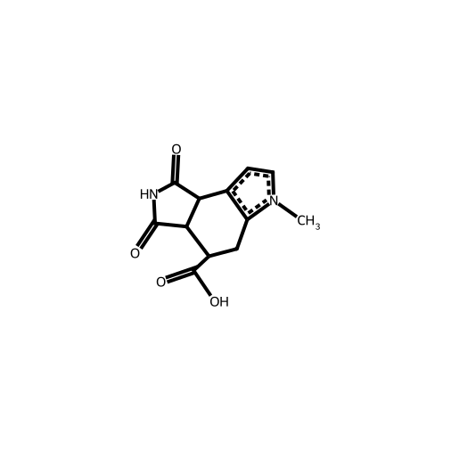 Cn1ccc2c1CC(C(=O)O)C1C(=O)NC(=O)C21